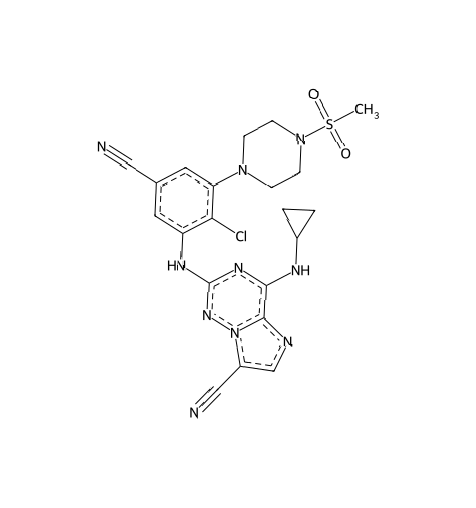 CS(=O)(=O)N1CCN(c2cc(C#N)cc(Nc3nc(NC4CC4)c4ncc(C#N)n4n3)c2Cl)CC1